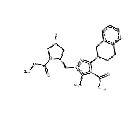 CC(C)(C)OC(=O)N1C[C@H](F)C[C@H]1Cn1nc([C@@H]2CCc3ccccc3C2)c(C(N)=O)c1N